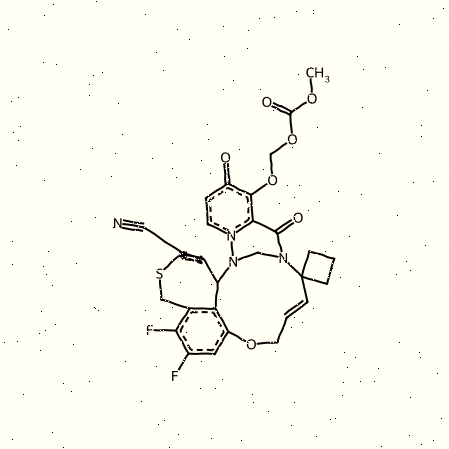 COC(=O)OCOc1c2n(ccc1=O)N1CN(C2=O)C2(/C=C/COc3cc(F)c(F)c4c3C1c1cccc(C#N)c1SC4)CCC2